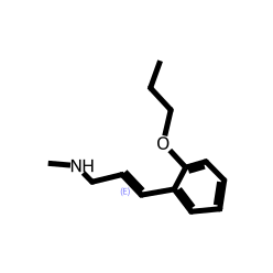 CCCOc1ccccc1/C=C/CNC